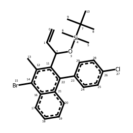 C=CC(O[Si](C)(C)C(C)(C)C)c1c(C)c(Br)c2ccccc2c1-c1ccc(Cl)cc1